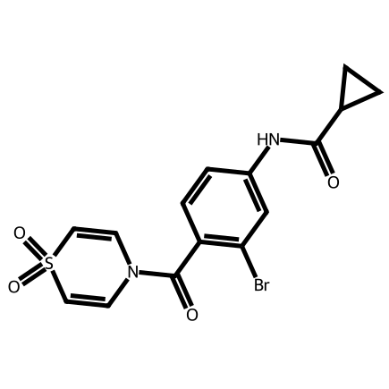 O=C(Nc1ccc(C(=O)N2C=CS(=O)(=O)C=C2)c(Br)c1)C1CC1